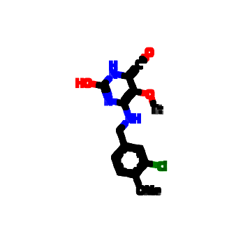 CCOC1=C(NCc2ccc(OC)c(Cl)c2)N=C(O)NC1=C=O